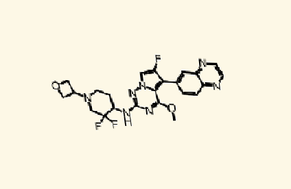 COc1nc(N[C@@H]2CCN(C3COC3)CC2(F)F)nn2cc(F)c(-c3ccc4nccnc4c3)c12